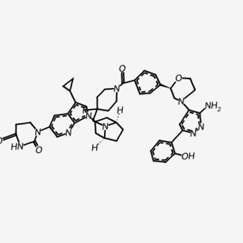 Nc1nnc(-c2ccccc2O)cc1N1CCO[C@H](c2ccc(C(=O)N3CCC(F)(CN4[C@@H]5CC[C@H]4CC(n4cc(C6CC6)c6cc(N7CCC(=O)NC7=O)cnc64)C5)CC3)cc2)C1